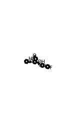 O=c1ccc2c([C@@H](O)CN3CCN(c4ccc(F)cc4)CC3)ccc(OCc3ccccc3)c2[nH]1